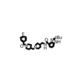 CC(C)(C)c1nc2c(C(=O)NCC3CCN(CC4CCN(C(=O)c5ccc(F)cc5)CC4)CC3)cccc2[nH]1